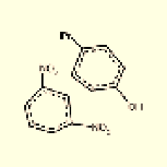 CC(C)c1ccc(O)cc1.O=[N+]([O-])c1cccc([N+](=O)[O-])c1